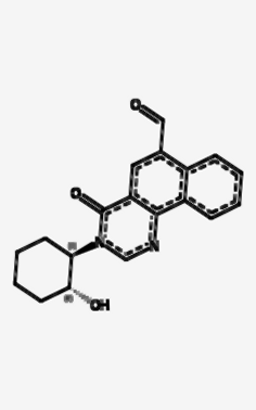 O=Cc1cc2c(=O)n([C@@H]3CCCC[C@H]3O)cnc2c2ccccc12